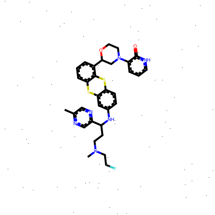 Cc1cnc(C(CCN(C)CCF)Nc2ccc3c(c2)Sc2cccc(C4CN(c5ccc[nH]c5=O)CCO4)c2S3)cn1